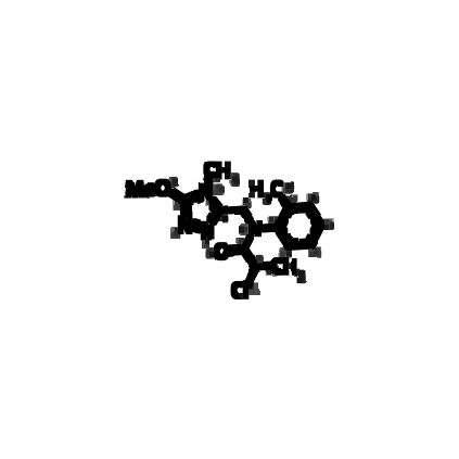 COc1nnc(CN(C(=O)C(C)Cl)c2ccccc2C)n1C